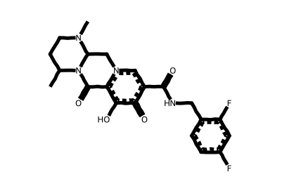 CC1CCN(C)C2Cn3cc(C(=O)NCc4ccc(F)cc4F)c(=O)c(O)c3C(=O)N12